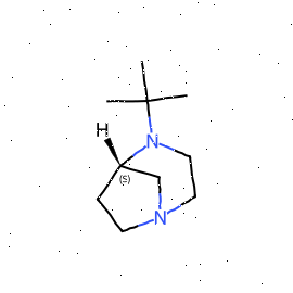 CC(C)(C)N1CCN2CC[C@H]1C2